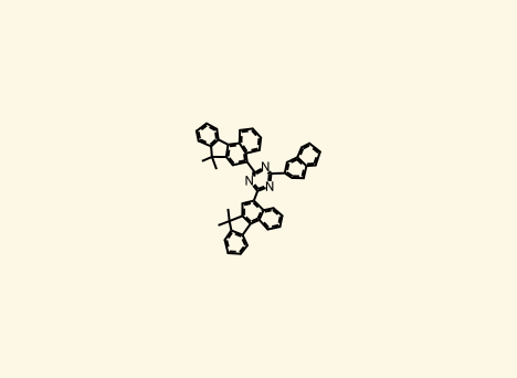 CC1(C)c2ccccc2-c2c1cc(-c1nc(-c3ccc4ccccc4c3)nc(-c3cc4c(c5ccccc35)-c3ccccc3C4(C)C)n1)c1ccccc21